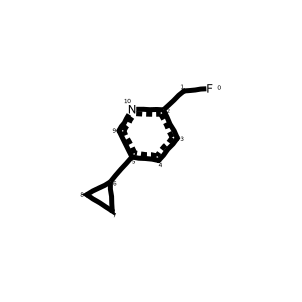 FCc1ccc(C2CC2)cn1